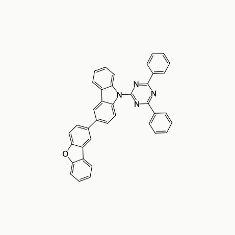 c1ccc(-c2nc(-c3ccccc3)nc(-n3c4ccccc4c4cc(-c5ccc6oc7ccccc7c6c5)ccc43)n2)cc1